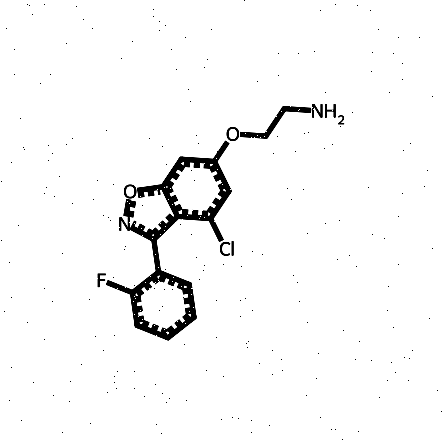 NCCOc1cc(Cl)c2c(-c3ccccc3F)noc2c1